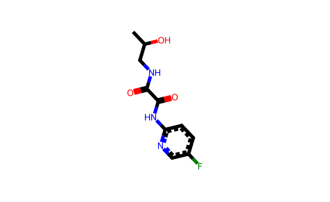 CC(O)CNC(=O)C(=O)Nc1ccc(F)cn1